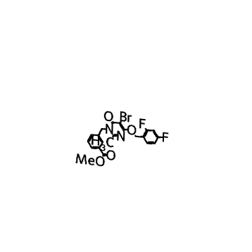 COC(=O)c1cccc(Cn2c(C)nc(OCc3ccc(F)cc3F)c(Br)c2=O)c1